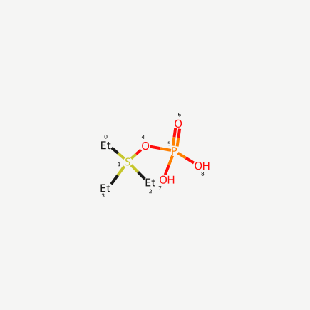 CCS(CC)(CC)OP(=O)(O)O